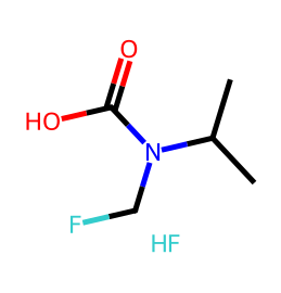 CC(C)N(CF)C(=O)O.F